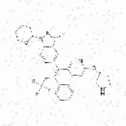 Fc1nn(C2CCCCO2)c2ccc(/C(=C(\CC(F)(F)F)c3ccccc3)c3ccc(O[C@@H]4CCNC4)nc3)cc12